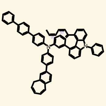 C=C(/C=C\C=C/C)c1cccc2c1c1c(-c3cccc(N(c4ccc(-c5ccc(-c6ccccc6)cc5)cc4)c4ccc(-c5ccc6c(c5)CC=CC=C6)cc4)c3)cccc1n2-c1ccccc1